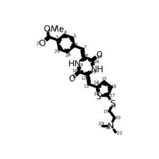 COC(=O)c1ccc(C=c2[nH]c(=O)c(=Cc3ccc(SCCN(C)C)s3)[nH]c2=O)cc1